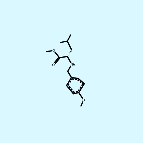 COC(=O)[C@H](CC(C)C)NCc1ccc(OC)cc1